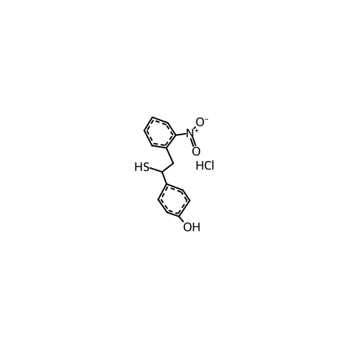 Cl.O=[N+]([O-])c1ccccc1CC(S)c1ccc(O)cc1